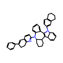 C1=CC2C3=C(c4ccccc4N(c4ccc5c(n4)CCC(c4ccccc4)=C5)C4CCCCC34)N(c3ccc4c(c3)CCCC4)C2C=C1